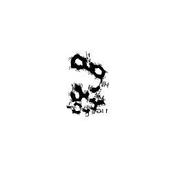 CN1CCN(C(=O)N[C@@](C)(O)c2cnn3c(N[C@@H]4CCc5[nH]c6ccccc6c5C4)nc(-c4cncc(F)c4)nc23)CC1